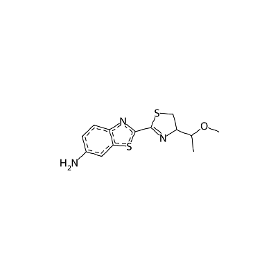 COC(C)C1CSC(c2nc3ccc(N)cc3s2)=N1